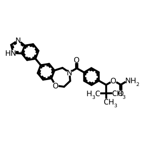 CC(C)(C)C(OC(N)=O)c1ccc(C(=O)N2CCOc3ccc(-c4ccc5nc[nH]c5c4)cc3C2)cc1